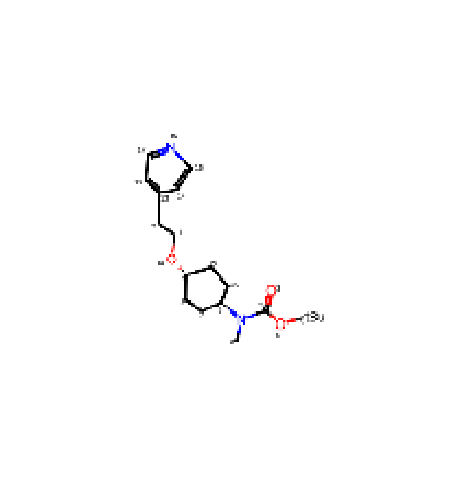 CN(C(=O)OC(C)(C)C)[C@H]1CC[C@H](OCCc2ccncc2)CC1